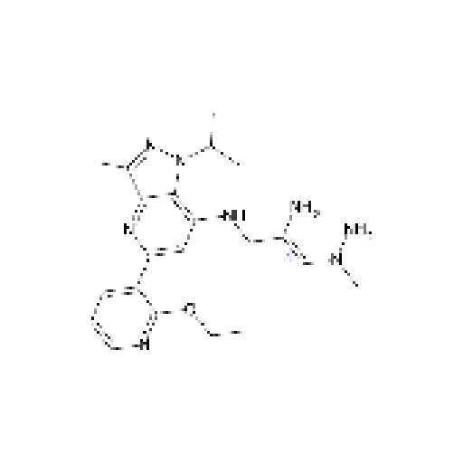 CCOc1ncccc1-c1cc(NC/C(N)=C/N(C)N)c2c(n1)c(C)nn2C(C)C